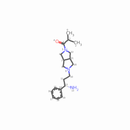 CC(C)C(=O)N1CC2CN(CC[C@H](N)c3ccccc3)CC2C1